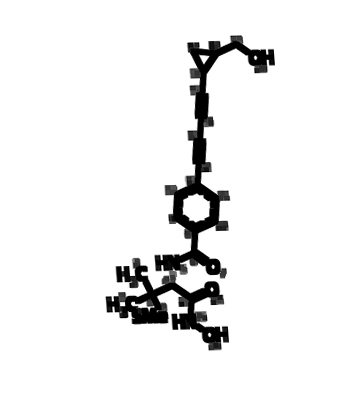 CSC(C)(C)[C@H](NC(=O)c1ccc(C#CC#CC2CC2CO)cc1)C(=O)NO